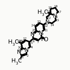 Cc1cn2cc(-c3cc(=O)n4cc(N5CCN6CCCC6(C)C5)ccc4n3)cc(C)c2n1